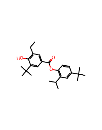 CCc1cc(C(=O)Oc2ccc(C(C)(C)C)cc2C(C)C)cc(C(C)(C)C)c1O